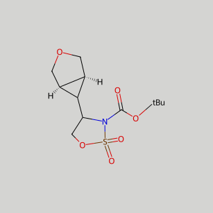 CC(C)(C)OC(=O)N1C(C2[C@H]3COC[C@@H]23)COS1(=O)=O